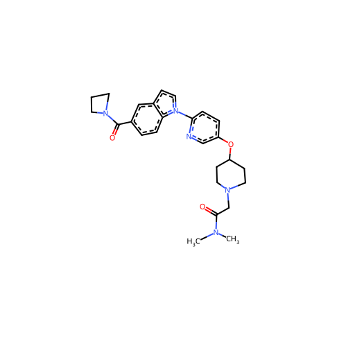 CN(C)C(=O)CN1CCC(Oc2ccc(-n3ccc4cc(C(=O)N5CCC5)ccc43)nc2)CC1